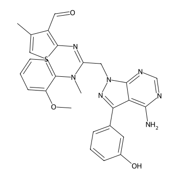 COc1ccccc1N(C)/C(Cn1nc(-c2cccc(O)c2)c2c(N)ncnc21)=N\c1scc(C)c1C=O